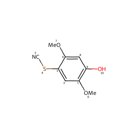 COc1cc(SC#N)c(OC)cc1O